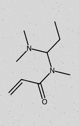 C=CC(=O)N(C)C(CC)N(C)C